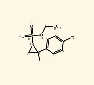 CC1(c2ccc(Cl)cc2)CN1S(=O)(=O)OCC(Cl)(Cl)Cl